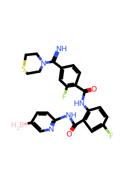 Bc1ccc(NC(=O)c2cc(F)ccc2NC(=O)c2ccc(C(=N)N3CCSCC3)cc2F)nc1